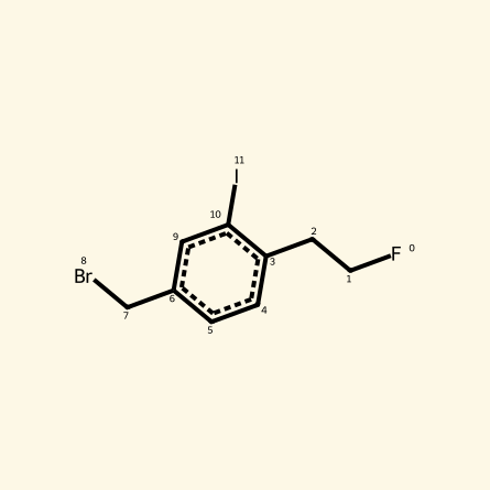 FCCc1ccc(CBr)cc1I